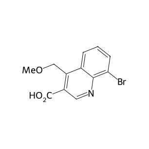 COCc1c(C(=O)O)cnc2c(Br)cccc12